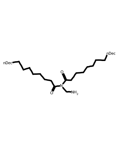 CCCCCCCCCCCCCCCCCC(=O)N(CN)C(=O)CCCCCCCCCCCCCCCCC